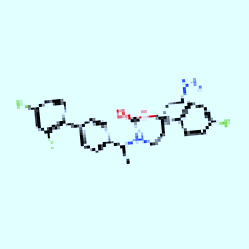 CC(c1ccc(-c2ccc(F)cc2F)cc1)N1CC[C@](CCN)(c2ccc(F)cc2)OC1=O